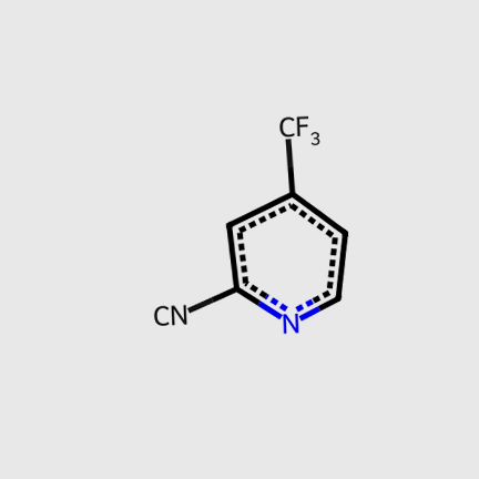 [C-]#[N+]c1cc(C(F)(F)F)ccn1